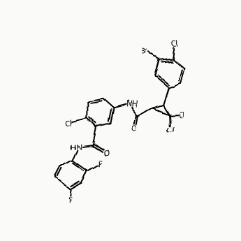 O=C(Nc1ccc(F)cc1F)c1cc(NC(=O)C2C(c3ccc(Cl)c(Br)c3)C2(Cl)Cl)ccc1Cl